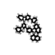 C1=CC2c3ccc(-c4ccccc4)cc3N(c3cc(-c4ccc(N(c5cccc6ccccc56)c5cccc6ccccc56)cc4)c4oc5ccccc5c4c3)C2C=C1